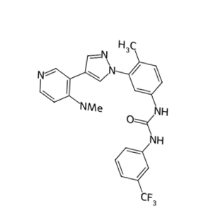 CNc1ccncc1-c1cnn(-c2cc(NC(=O)Nc3cccc(C(F)(F)F)c3)ccc2C)c1